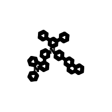 C1=CC(N(c2ccc(C3C=c4ccc5ccccc5c4=CC3)cc2)c2cc(-c3ccccc3)cc(-c3ccccc3)c2)=CC(c2cccc3c2c2ccccc2n3-c2ccccc2)C1